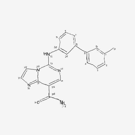 Cc1cccc(-c2cccc(Nc3ncc(C(N)=O)c4nccn34)c2)c1